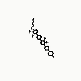 C=CCCCOc1ccc(-c2ccc(-c3ccc(C4=CCC(C5CCC(C)CC5)CC4)c(F)c3F)cc2)c(F)c1F